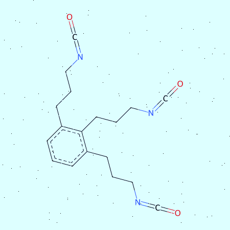 O=C=NCCCc1cccc(CCCN=C=O)c1CCCN=C=O